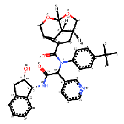 CC(C)(C)c1ccc(N(C(=O)C2C[C@H]3CO[C@H]4OCC2C[C@@H]34)C(C(=O)N[C@@H]2c3ccccc3C[C@@H]2O)c2cccnc2)cc1